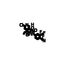 CCS(=O)(=O)CC(O)(C(=O)Nc1ccc(C#N)c(C(F)(F)F)c1)c1ccc(Cl)nc1